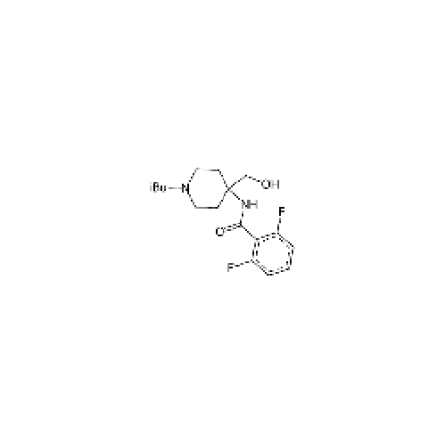 CCC(C)N1CCC(CO)(NC(=O)c2c(F)cccc2F)CC1